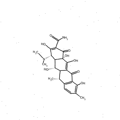 Cc1ccc2c(c1O)C(=O)C1=C(O)[C@]3(O)C(=O)C(C(N)=O)=C(O)[C@@H](N(C)C)C3[C@@H](O)C1[C@H]2C